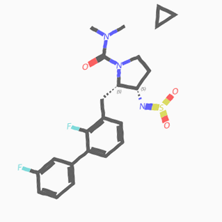 C1CC1.CN(C)C(=O)N1CC[C@H](N=S(=O)=O)[C@@H]1Cc1cccc(-c2cccc(F)c2)c1F